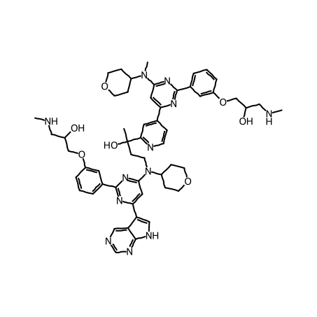 CNCC(O)COc1cccc(-c2nc(-c3ccnc(C(C)(O)CCN(c4cc(-c5c[nH]c6ncncc56)nc(-c5cccc(OCC(O)CNC)c5)n4)C4CCOCC4)c3)cc(N(C)C3CCOCC3)n2)c1